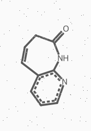 O=C1CC=Cc2cccnc2N1